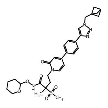 CC(CCn1ccc(-c2ccc(-c3cn(CC45CC(C4)C5)nn3)cc2)cc1=O)(C(=O)NOC1CCCCO1)S(C)(=O)=O